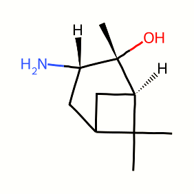 CC1(C)C2C[C@H]1[C@@](C)(O)[C@@H](N)C2